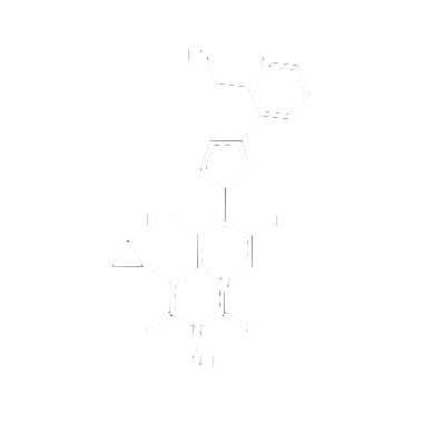 Cc1c(-c2ccc(-c3cccnc3CN)s2)c(F)cn2c(=O)n(N)c(=O)c(C3CC3)c12